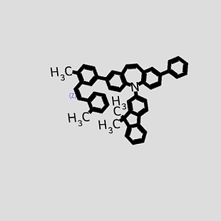 Cc1ccccc1/C=C\c1cc(-c2ccc3c(c2)C=Cc2cc(-c4ccccc4)ccc2N3c2ccc3c(c2)C(C)(C)c2ccccc2-3)ccc1C